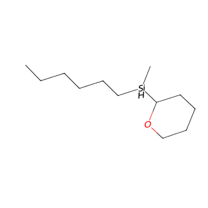 CCCCCC[SiH](C)C1CCCCO1